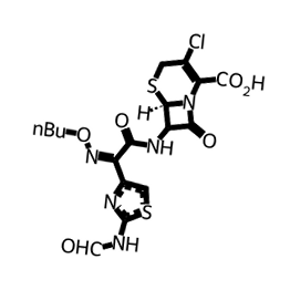 CCCCO/N=C(\C(=O)NC1C(=O)N2C(C(=O)O)=C(Cl)CS[C@H]12)c1csc(NC=O)n1